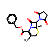 CC1=C(C(=O)OCc2ccccc2)N2C(=O)C(N3C(=O)CCC3=O)[C@@H]2SC1